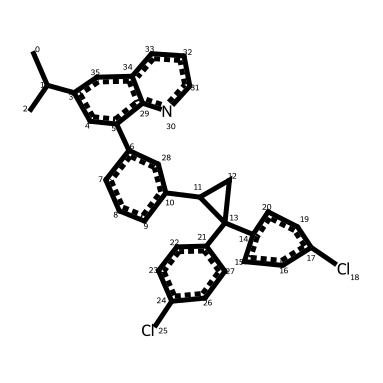 CC(C)c1cc(-c2cccc(C3CC3(c3ccc(Cl)cc3)c3ccc(Cl)cc3)c2)c2ncccc2c1